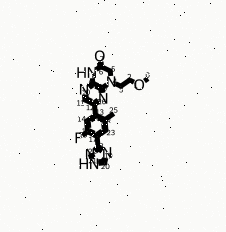 COCCN1CC(=O)Nc2ncc(-c3cc(F)c(-c4nc[nH]n4)cc3C)nc21